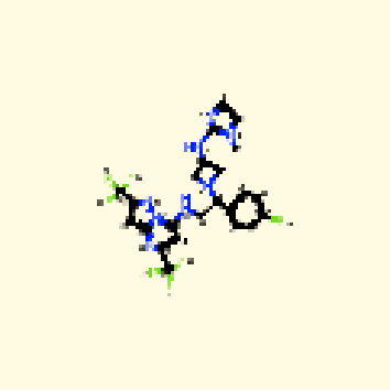 Cn1ccnc1NC1CN([C@H](CNc2cc(C(F)(F)F)nc3cc(C(F)(F)F)nn23)c2ccc(F)cc2)C1